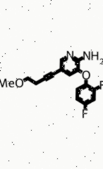 COCCC#Cc1cnc(N)c(Oc2ccc(F)cc2F)c1